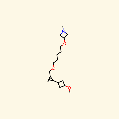 COC1CC(C2C=C2COCCCCCOC2CN(C)C2)C1